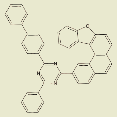 c1ccc(-c2ccc(-c3nc(-c4ccccc4)nc(-c4ccc5ccc6ccc7oc8ccccc8c7c6c5c4)n3)cc2)cc1